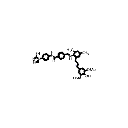 COc1cc(/C=C/Cc2cc(C)cc(C)c2NCc2ccc(C(=O)Nc3ccc(-n4cnnc4S)cc3)cc2)cc(OC)c1O